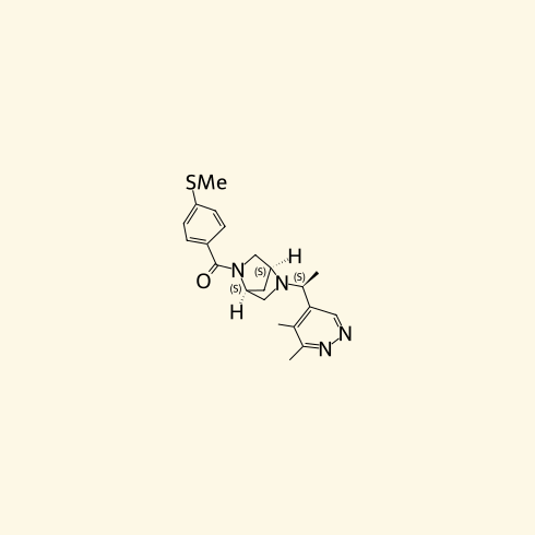 CSc1ccc(C(=O)N2C[C@@H]3C[C@H]2CN3[C@@H](C)c2cnnc(C)c2C)cc1